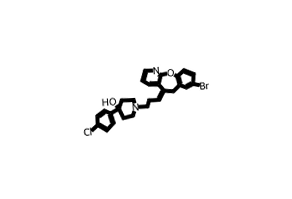 OC1(c2ccc(Cl)cc2)CCN(CC/C=C2/Cc3cc(Br)ccc3Oc3ncccc32)CC1